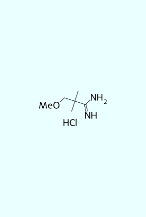 COCC(C)(C)C(=N)N.Cl